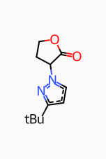 CC(C)(C)c1ccn(C2CCOC2=O)n1